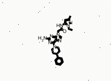 CCn1nc(C)cc1NC(=O)Cn1cnc2c(N3CCC(c4ccccc4)CC3)nc(N)nc21